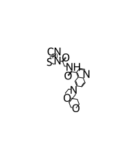 N#C[C@@H]1CSCN1C(=O)CNC(=O)c1ccnc2ccc(N3CCOC4(CCOCC4)C3)cc12